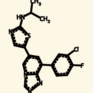 CC(C)Nc1ncc(-c2cc(-c3ccc(F)c(Cl)c3)c3nncn3c2)s1